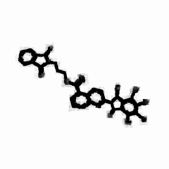 O=C(OCCCN1C(=O)c2ccccc2C1=O)c1cccc2nc(C3C(=O)c4c(Br)c(Br)c(Br)c(Br)c4C3=O)ccc12